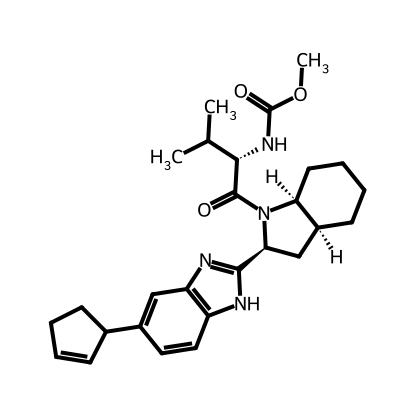 COC(=O)N[C@H](C(=O)N1[C@H](c2nc3cc(C4C=CCC4)ccc3[nH]2)C[C@@H]2CCCC[C@@H]21)C(C)C